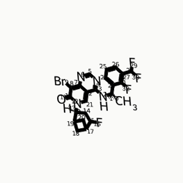 C[C@@H](Nc1ncnc2c(Br)c(=O)n([C@H]3CC(F)C4CC3C4)cc12)c1cccc(C(F)F)c1F